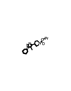 Cc1c(C2=CCN(C(=O)OC(C)C)CC2)nnn1-c1ccccc1